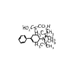 C[Si](C)(C)N(C1CC=C(c2ccccc2)CC1)[Si](C)(C)C.O=C(O)SC(=O)O